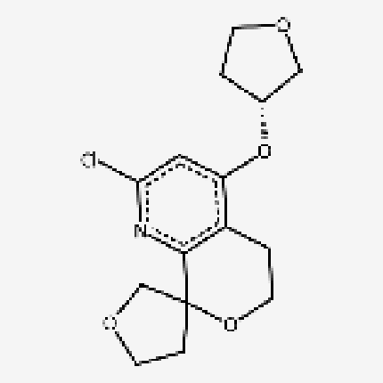 Clc1cc(O[C@@H]2CCOC2)c2c(n1)C1(CCOC1)OCC2